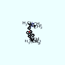 C=C/C=c1\c(=C/C)nc(CC)n1-c1cccc(-c2ccc3c(c2)C2(c4ccccc4-3)c3cc(B4OC(C)(C)C(C)(C)O4)ccc3C3C=CC=CC32)c1